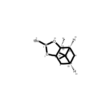 CC(C)(C)B1OC2C[C@@H]3C[C@@H](C3(C)C)[C@]2(C)O1